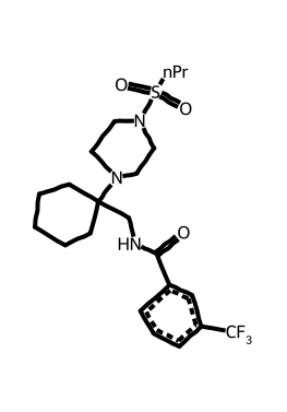 CCCS(=O)(=O)N1CCN(C2(CNC(=O)c3cccc(C(F)(F)F)c3)CCCCC2)CC1